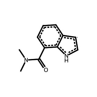 CN(C)C(=O)c1cccc2[c]c[nH]c12